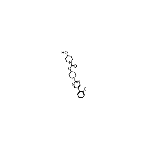 O=C(OC1CCN(c2ncc(-c3ccccc3Cl)cn2)CC1)N1CCC(O)CC1